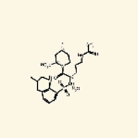 CC1CNc2c(cccc2S(=O)(=O)N[C@@H](CCCNC(=N)N)C(=O)N2CC[C@@H](C)C[C@@H]2C(=O)O)C1.O